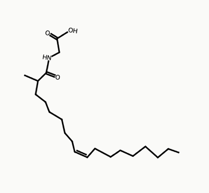 CCCCCCCC/C=C\CCCCCCC(C)C(=O)NCC(=O)O